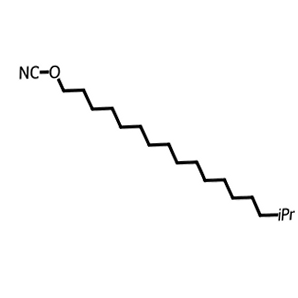 CC(C)CCCCCCCCCCCCCCCOC#N